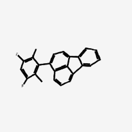 Cc1c(F)cc(F)c(C)c1-c1ccc2c3c(cccc13)-c1ccccc1-2